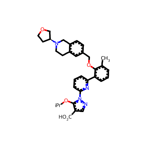 Cc1cccc(-c2cccc(-n3ncc(C(=O)O)c3OC(C)C)n2)c1OCc1ccc2c(c1)CCN([C@H]1CCOC1)C2